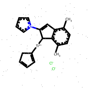 Cc1ccc(C)c2c1C=C(n1cccc1)[CH]2[Ti+2][C]1=CC=CC1.[Cl-].[Cl-]